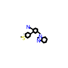 CSc1[c]cc(-c2cc(Cn3cnc4ccccc43)ccc2C#N)cc1